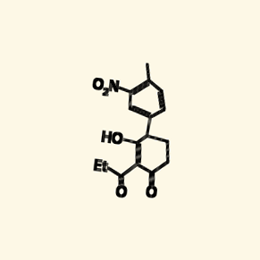 CCC(=O)C1=C(O)C(c2ccc(C)c([N+](=O)[O-])c2)CCC1=O